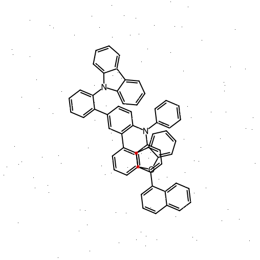 c1ccc(N(c2ccc(-c3cccc4ccccc34)cc2)c2ccc(-c3ccccc3-n3c4ccccc4c4ccccc43)cc2-c2cccc3oc4ccccc4c23)cc1